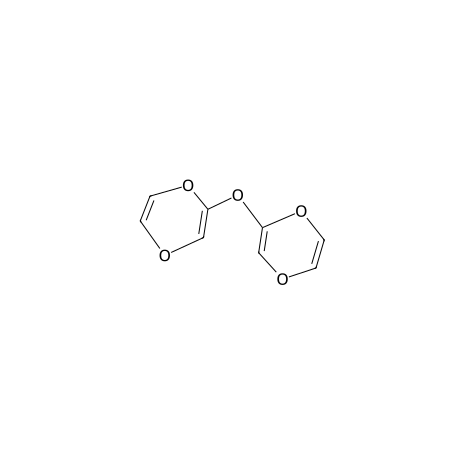 C1=COC(OC2=COC=CO2)=CO1